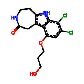 O=C1Cc2c([nH]c3c(Cl)c(Cl)cc(OCCCO)c23)CCN1